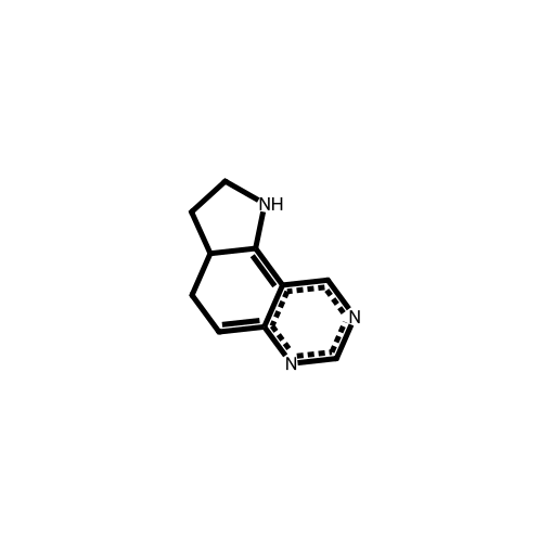 C1=c2ncncc2=C2NCCC2C1